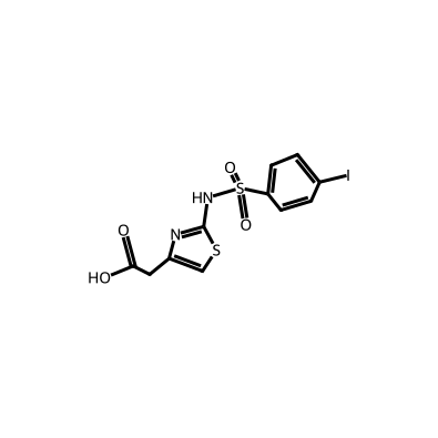 O=C(O)Cc1csc(NS(=O)(=O)c2ccc(I)cc2)n1